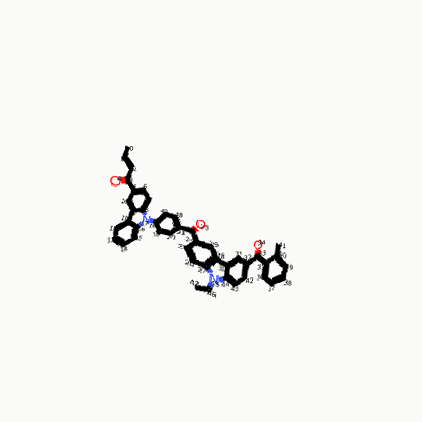 C/C=C/C(=O)c1ccc2c(c1)c1ccccc1n2-c1ccc(C(=O)c2ccc3c(c2)c2cc(C(=O)c4ccccc4C)ccc2n3CC)cc1